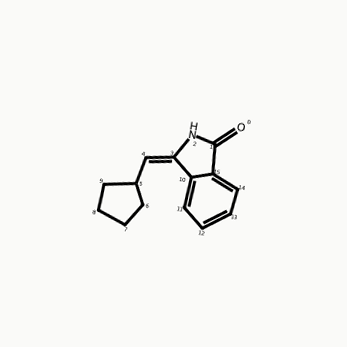 O=C1N/C(=C/C2CCCC2)c2ccccc21